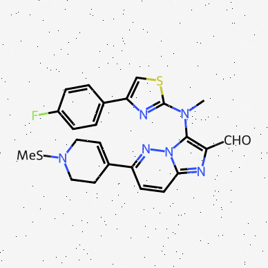 CSN1CC=C(c2ccc3nc(C=O)c(N(C)c4nc(-c5ccc(F)cc5)cs4)n3n2)CC1